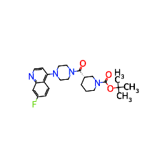 CC(C)(C)OC(=O)N1CCC[C@H](C(=O)N2CCN(c3ccnc4cc(F)ccc34)CC2)C1